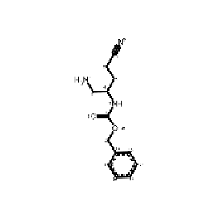 N#CCCC(CN)NC(=O)OCc1ccccc1